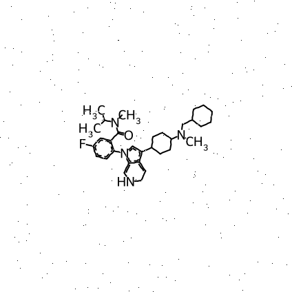 CC(C)N(C)C(=O)c1cc(F)ccc1-n1cc(C2CCC(N(C)CC3CCCCC3)CC2)c2c1=CNCC=2